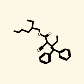 CCCCC(CC)COC(=O)C(C#N)C(CC)=C(c1ccccc1)c1ccccc1